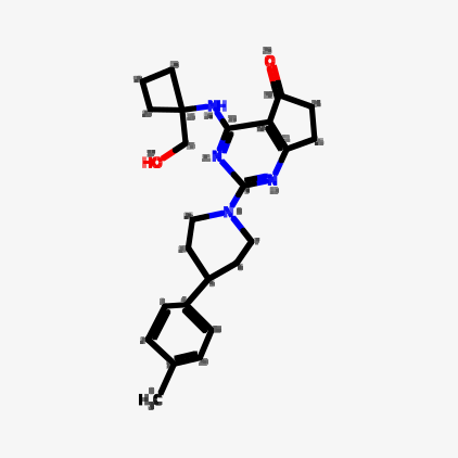 Cc1ccc(C2CCN(c3nc4c(c(NC5(CO)CCC5)n3)C(=O)CC4)CC2)cc1